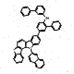 c1ccc(-c2cccc(Nc3ccc(-c4ccc5c(c4)c4ccc6oc7ccccc7c6c4n5-c4ccc5ccccc5c4)cc3-c3ccccc3)c2)cc1